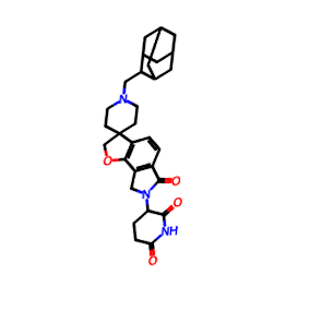 O=C1CCC(N2Cc3c(ccc4c3OCC43CCN(CC4C5CC6CC(C5)CC4C6)CC3)C2=O)C(=O)N1